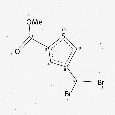 COC(=O)c1cc(C(Br)Br)cs1